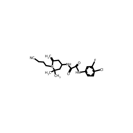 C=C1CC(NC(=O)C(=O)Nc2ccc(Cl)c(F)c2)CC(C)(C)N1CCCC#N